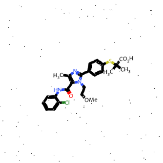 COCCn1c(-c2ccc(SC(C)(C)C(=O)O)cc2)nc(C)c1C(=O)Nc1ccccc1Cl